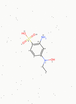 CCN(O)c1ccc(S(=O)(=O)O)c(N)c1